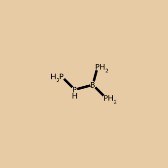 PPB(P)P